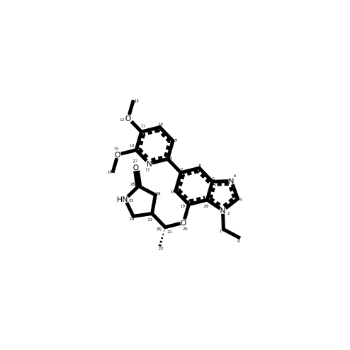 CCn1cnc2cc(-c3ccc(OC)c(OC)n3)cc(O[C@H](C)C3CNC(=O)C3)c21